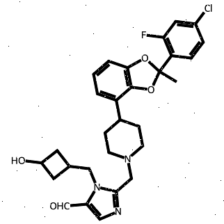 CC1(c2ccc(Cl)cc2F)Oc2cccc(C3CCN(Cc4ncc(C=O)n4CC4CC(O)C4)CC3)c2O1